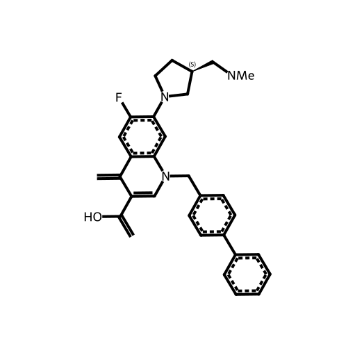 C=C(O)C1=CN(Cc2ccc(-c3ccccc3)cc2)c2cc(N3CC[C@@H](CNC)C3)c(F)cc2C1=C